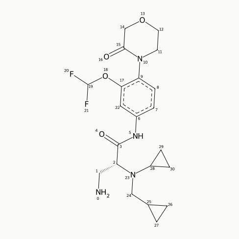 NC[C@H](C(=O)Nc1ccc(N2CCOCC2=O)c(OC(F)F)c1)N(CC1CC1)C1CC1